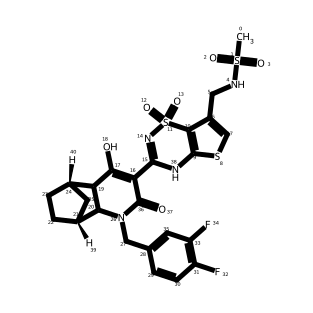 CS(=O)(=O)NCc1csc2c1S(=O)(=O)N=C(C1=C(O)C3C([C@@H]4CC[C@H]3C4)N(Cc3ccc(F)c(F)c3)C1=O)N2